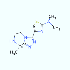 C[C@@H]1NCCn2c(-c3csc(N(C)C)n3)nnc21